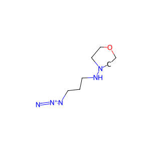 [N-]=[N+]=NCCCNN1CCOCC1